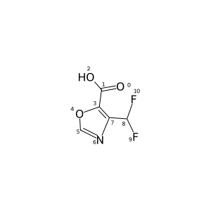 O=C(O)c1ocnc1C(F)F